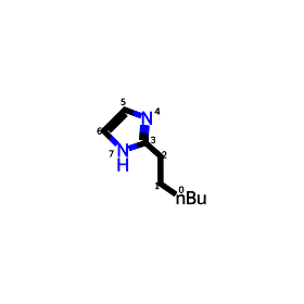 [CH2]CCCCCc1ncc[nH]1